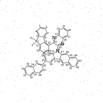 CC1(C)c2ccccc2-c2c(-c3nc4ccccc4nc3-n3c4ccc(-c5ccc6ccccc6c5)cc4c4cc5ccccc5cc43)cccc21